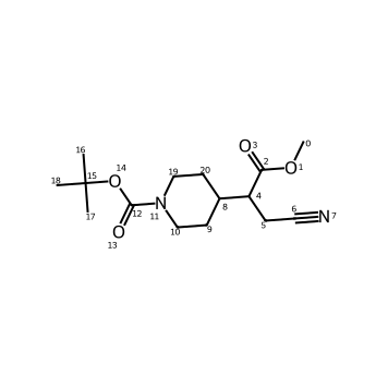 COC(=O)C(CC#N)C1CCN(C(=O)OC(C)(C)C)CC1